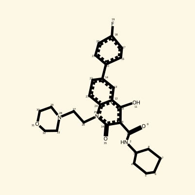 O=C(NC1CCCCC1)c1c(O)c2cc(-c3ccc(F)cc3)ccc2n(CCN2CCOCC2)c1=O